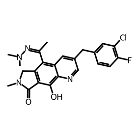 C/C(=N/N(C)C)c1c2c(c(O)c3ncc(Cc4ccc(F)c(Cl)c4)cc13)C(=O)N(C)C2